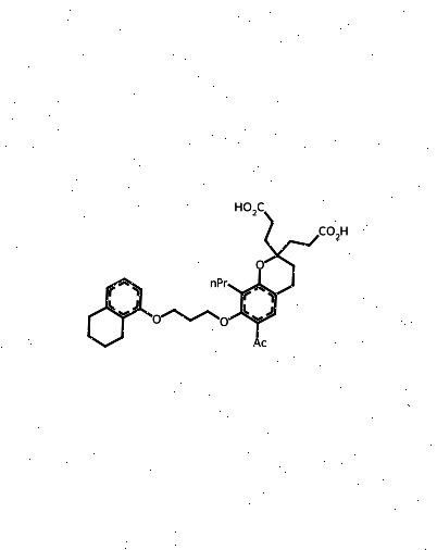 CCCc1c2c(cc(C(C)=O)c1OCCCOc1cccc3c1CCCC3)CCC(CCC(=O)O)(CCC(=O)O)O2